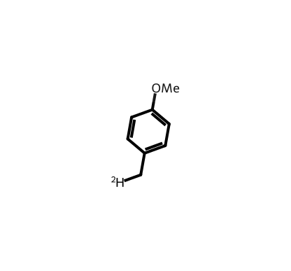 [2H]Cc1ccc(OC)cc1